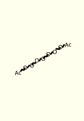 CC(=O)CCOCCOCCOCCOCCOCCOCCOCCC(C)=O